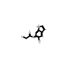 O=C(CCl)Nc1cc2[nH]ccc2cc1Cl